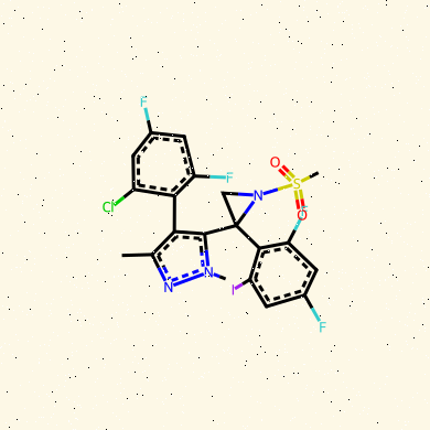 Cc1nn(C)c(C2(c3c(F)cc(F)cc3I)CN2S(C)(=O)=O)c1-c1c(F)cc(F)cc1Cl